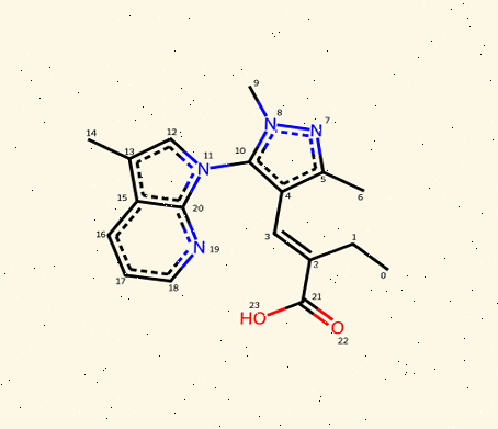 CCC(=Cc1c(C)nn(C)c1-n1cc(C)c2cccnc21)C(=O)O